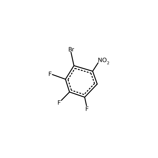 O=[N+]([O-])c1cc(F)c(F)c(F)c1Br